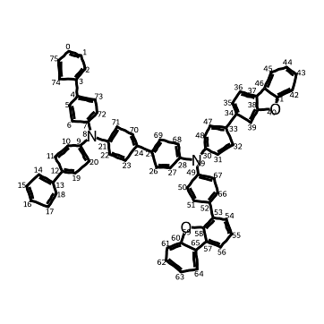 c1ccc(-c2ccc(N(c3ccc(-c4ccccc4)cc3)c3ccc(-c4ccc(N(c5ccc(-c6ccc7c(c6)oc6ccccc67)cc5)c5ccc(-c6cccc7c6oc6ccccc67)cc5)cc4)cc3)cc2)cc1